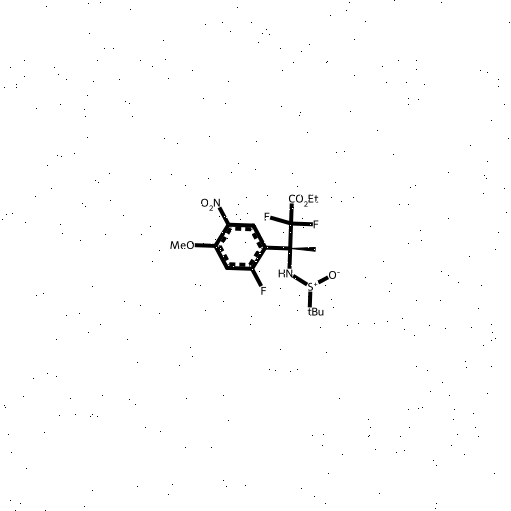 CCOC(=O)C(F)(F)[C@](C)(N[S+]([O-])C(C)(C)C)c1cc([N+](=O)[O-])c(OC)cc1F